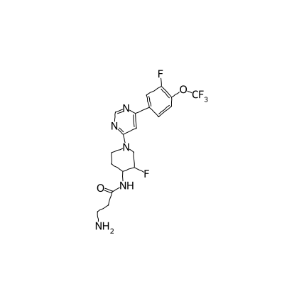 NCCC(=O)NC1CCN(c2cc(-c3ccc(OC(F)(F)F)c(F)c3)ncn2)CC1F